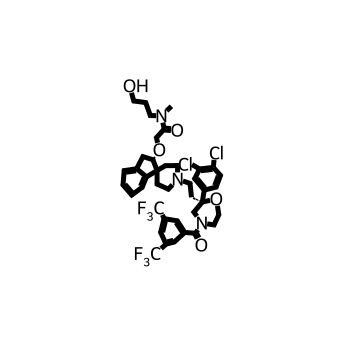 CN(CCCO)C(=O)CO[C@H]1Cc2ccccc2C12CCN(CC[C@@]1(c3ccc(Cl)c(Cl)c3)CN(C(=O)c3cc(C(F)(F)F)cc(C(F)(F)F)c3)CCO1)CC2